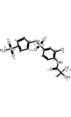 C[C@@](O)(C(=O)Nc1ccc(S(=O)(=O)Nc2ccc(S(N)(=O)=O)cc2)cc1Cl)C(F)(F)F